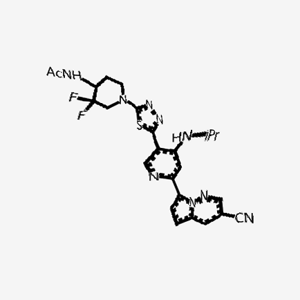 CC(=O)NC1CCN(c2nnc(-c3cnc(-c4ccc5cc(C#N)cnn45)cc3NC(C)C)s2)CC1(F)F